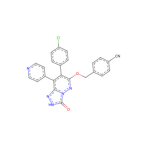 N#Cc1ccc(COc2nn3c(=O)[nH]nc3c(-c3ccncc3)c2-c2ccc(Cl)cc2)cc1